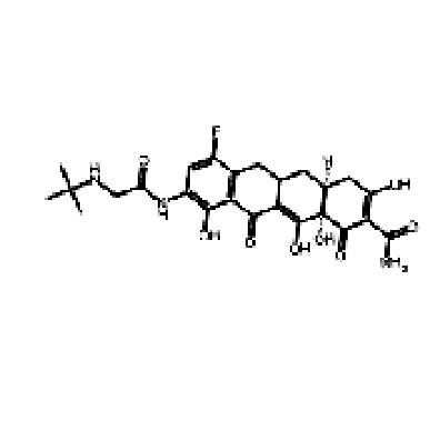 CC(C)(C)NCC(=O)Nc1cc(F)c2c(c1O)C(=O)C1=C(O)[C@]3(O)C(=O)C(C(N)=O)=C(O)C[C@@H]3CC1C2